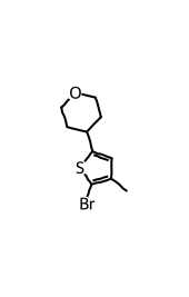 Cc1cc(C2CCOCC2)sc1Br